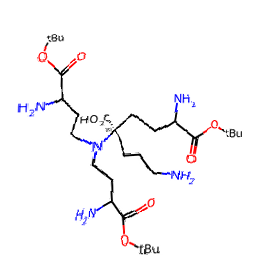 CC(C)(C)OC(=O)C(N)CCN(CCC(N)C(=O)OC(C)(C)C)[C@](CCCN)(CCC(N)C(=O)OC(C)(C)C)C(=O)O